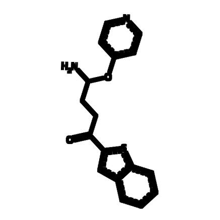 NC(CCC(=O)c1cc2ccccc2s1)Oc1ccncc1